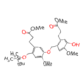 COC(=O)CCc1cc(O)c(OC)cc1COc1cc(CCC(=O)OC)c(CO[Si](C)(C)C(C)(C)C)cc1OC